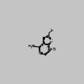 Cl.N#Cc1cc2c(N)nccc2o1